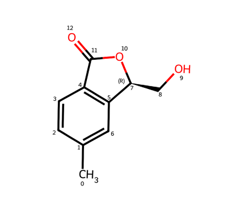 Cc1ccc2c(c1)[C@H](CO)OC2=O